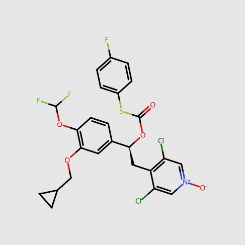 O=C(O[C@@H](Cc1c(Cl)c[n+]([O-])cc1Cl)c1ccc(OC(F)F)c(OCC2CC2)c1)Sc1ccc(F)cc1